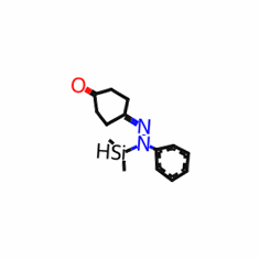 C[SiH](C)N(N=C1CCC(=O)CC1)c1ccccc1